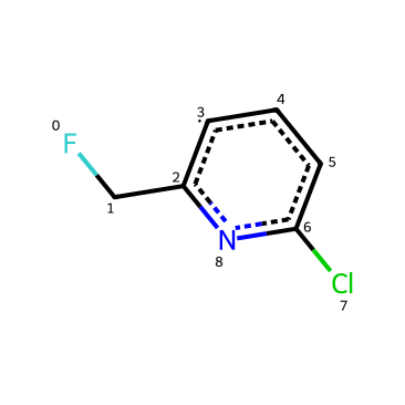 FCc1[c]ccc(Cl)n1